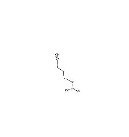 C#CCCCOC(=O)Cl